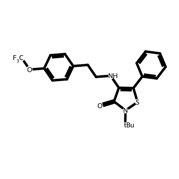 CC(C)(C)n1sc(-c2ccccc2)c(NCCc2ccc(OC(F)(F)F)cc2)c1=O